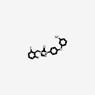 N#Cc1cccc(Oc2ccc(-n3ncn(Cc4c(F)cccc4F)c3=O)cc2)c1